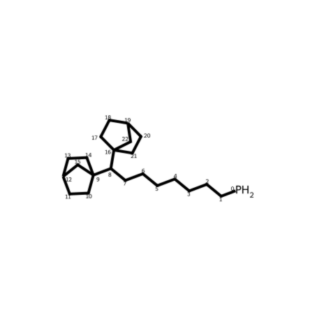 PCCCCCCCC(C12CCC(CC1)C2)C12CCC(CC1)C2